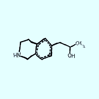 CC(O)Cc1ccc2c(c1)CCNC2